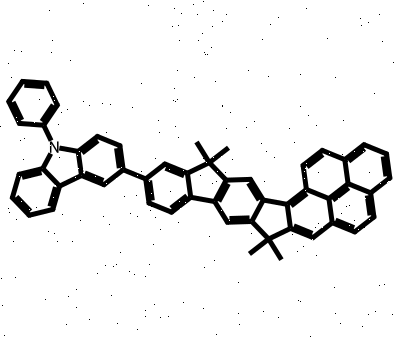 CC1(C)c2cc(-c3ccc4c(c3)c3ccccc3n4-c3ccccc3)ccc2-c2cc3c(cc21)-c1c(cc2ccc4cccc5ccc1c2c45)C3(C)C